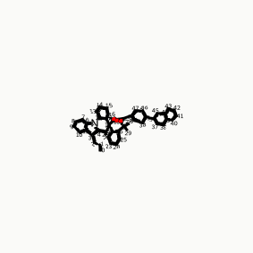 C=C/C=c1\c2n(c3ccccc13)-c1ccccc1C1(C=2C)c2ccccc2C(C)(C)c2c(-c3ccc(-c4ccc5ccccc5c4)cc3)cccc21